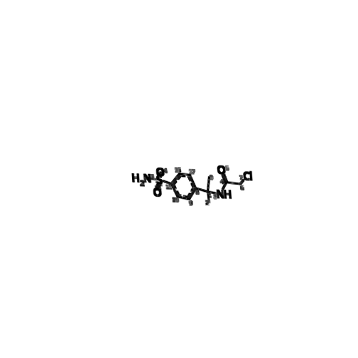 CC(C)(NC(=O)CCl)c1ccc(S(N)(=O)=O)cc1